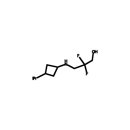 CC(C)C1CC(NCC(F)(F)CO)C1